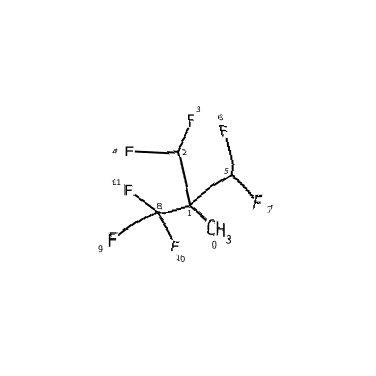 CC(C(F)F)(C(F)F)C(F)(F)F